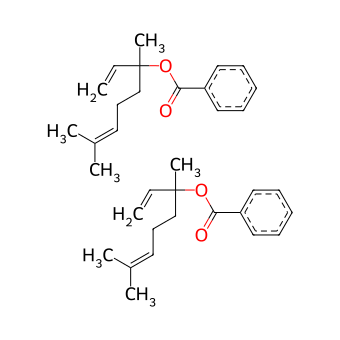 C=CC(C)(CCC=C(C)C)OC(=O)c1ccccc1.C=CC(C)(CCC=C(C)C)OC(=O)c1ccccc1